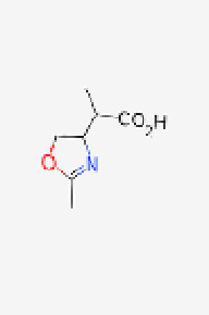 CC1=NC(C(C)C(=O)O)CO1